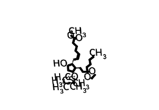 CCCCCC1(CC[C@H]2C(O[Si](C)(C)C(C)(C)C)CC(O)[C@@H]2C/C=C\CCCC(=O)OC)OCCO1